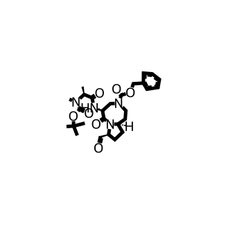 C[C@@H](C(=O)N[C@H]1CN(C(=O)OCc2ccccc2)CC[C@H]2CC[C@@H](C=O)N2C1=O)N(C)C(=O)OC(C)(C)C